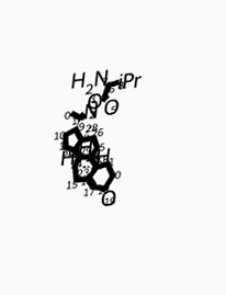 CC(=NOC(=O)C(N)C(C)C)[C@H]1CC[C@H]2[C@@H]3CCC4=CC(=O)CC[C@]4(C)[C@H]3CC[C@]12C